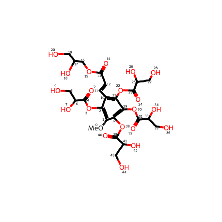 COc1c(OC(=O)C(O)CO)c(C=CC(=O)OCC(O)CO)c(OC(=O)C(O)CO)c(OC(=O)C(O)CO)c1OC(=O)C(O)CO